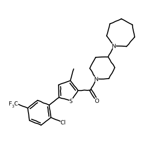 Cc1cc(-c2cc(C(F)(F)F)ccc2Cl)sc1C(=O)N1CCC(N2CCCCCC2)CC1